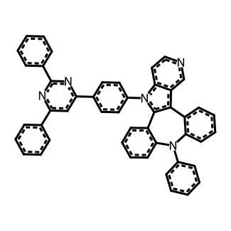 c1ccc(-c2cc(-c3ccc(-n4c5c(c6cnccc64)-c4ccccc4N(c4ccccc4)c4ccccc4-5)cc3)nc(-c3ccccc3)n2)cc1